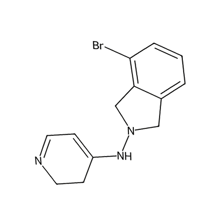 Brc1cccc2c1CN(NC1=CC=NCC1)C2